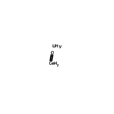 [LiH].[O]=[GeH2].[V]